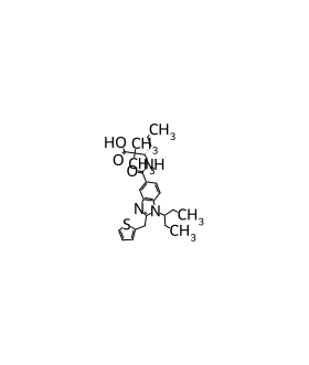 CCC[C@H](NC(=O)c1ccc2c(c1)nc(Cc1cccs1)n2C(CC)CC)C(C)(C)C(=O)O